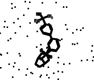 CS(=O)(=O)N1C2CCC1CN(c1cccc(-c3ccc(C(O)(C(F)(F)F)C(F)(F)F)cc3)c1)C2